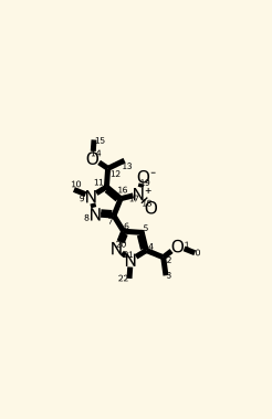 COC(C)c1cc(-c2nn(C)c(C(C)OC)c2[N+](=O)[O-])nn1C